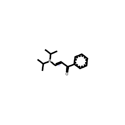 CC(C)N(/C=C/C(=O)c1ccccc1)C(C)C